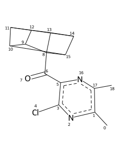 Cc1nc(Cl)c(C(=O)C23C4C5C6C4C2C6C53)nc1C